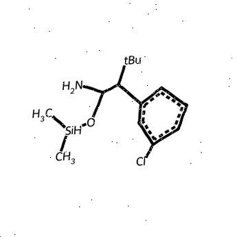 C[SiH](C)OC(N)C(c1cccc(Cl)c1)C(C)(C)C